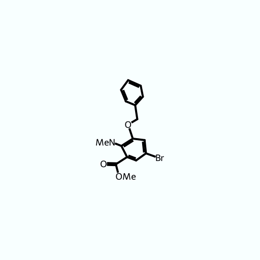 CNc1c(OCc2ccccc2)cc(Br)cc1C(=O)OC